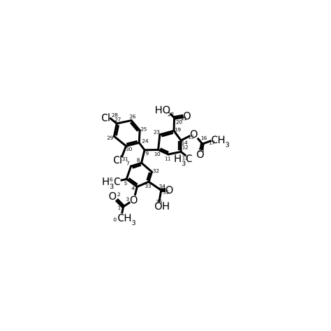 CC(=O)Oc1c(C)cc(C(c2cc(C)c(OC(C)=O)c(C(=O)O)c2)c2ccc(Cl)cc2Cl)cc1C(=O)O